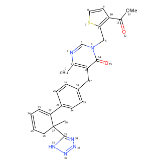 CCCCc1ncn(Cc2sccc2C(=O)OC)c(=O)c1Cc1ccc(C2=CC=CCC2(C)c2nnn[nH]2)cc1